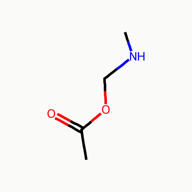 CNCOC(C)=O